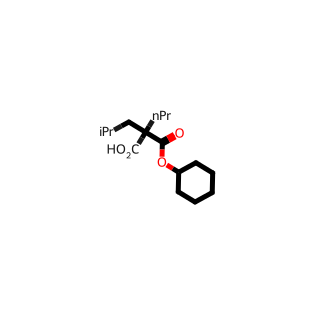 CCCC(CC(C)C)(C(=O)O)C(=O)OC1CCCCC1